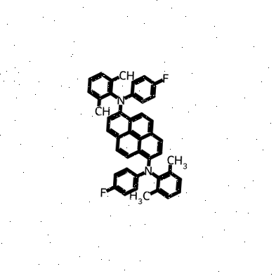 Cc1cccc(C)c1N(c1ccc(F)cc1)c1ccc2ccc3c(N(c4ccc(F)cc4)c4c(C)cccc4C)ccc4ccc1c2c43